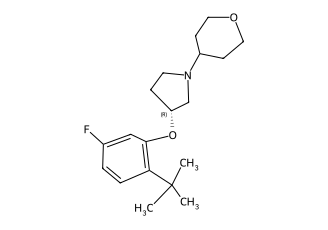 CC(C)(C)c1ccc(F)cc1O[C@@H]1CCN(C2CCOCC2)C1